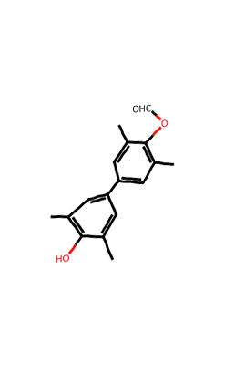 Cc1cc(-c2cc(C)c(OC=O)c(C)c2)cc(C)c1O